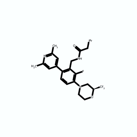 Cc1cc(-c2ccc(N3CCO[C@H](C(F)(F)F)C3)c(F)c2CNC(=O)CC(C)C)cc(C)n1